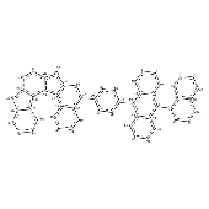 c1ccc2c(-c3c4ccccc4c(-c4ccc(-c5cc6oc7ccc8sc9ccccc9c8c7c6c6ccccc56)cc4)c4ccccc34)cccc2c1